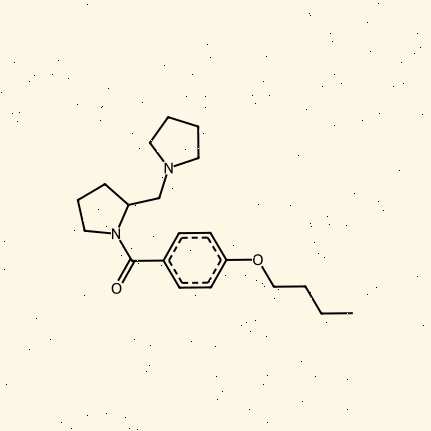 CCCCOc1ccc(C(=O)N2CCCC2CN2CCCC2)cc1